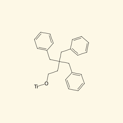 [Ti][O]CCC(Cc1ccccc1)(Cc1ccccc1)Cc1ccccc1